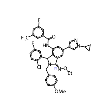 CCO/N=C1\c2cc(-c3cnn(C4CC4)c3)cc(NC(=O)c3cc(F)cc(C(F)(F)F)c3)c2C(c2cc(F)ccc2Cl)N1Cc1ccc(OC)cc1